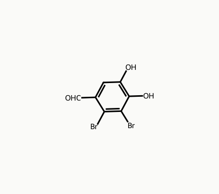 O=Cc1cc(O)c(O)c(Br)c1Br